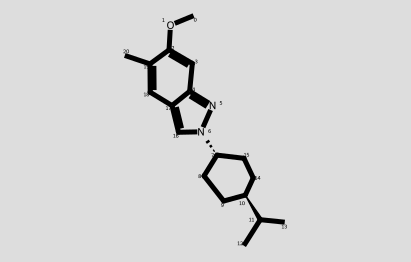 COc1cc2nn([C@H]3CC[C@H](C(C)C)CC3)cc2cc1C